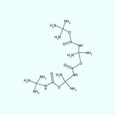 NC(N)(N)NC(=O)OC(N)(N)NC(=O)OC(N)(N)NC(=O)OC(N)(N)N